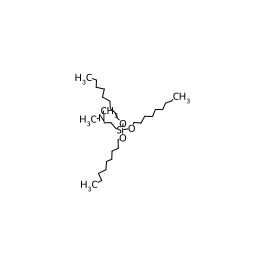 CCCCCCCCCO[Si](CCCN(C)C)(OCCCCCCCCC)OCCCCCCCCC